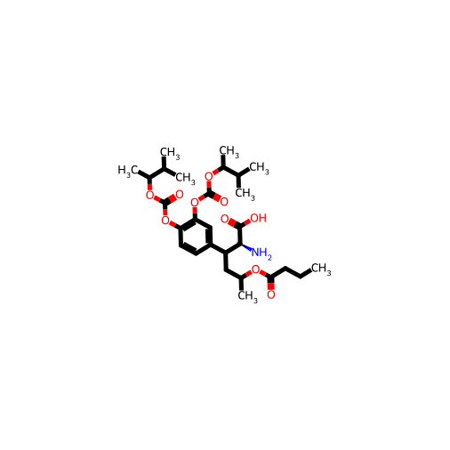 CCCC(=O)OC(C)CC(c1ccc(OC(=O)OC(C)C(C)C)c(OC(=O)OC(C)C(C)C)c1)[C@H](N)C(=O)O